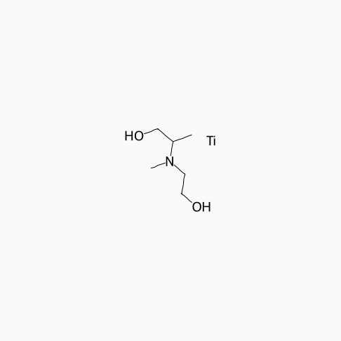 CC(CO)N(C)CCO.[Ti]